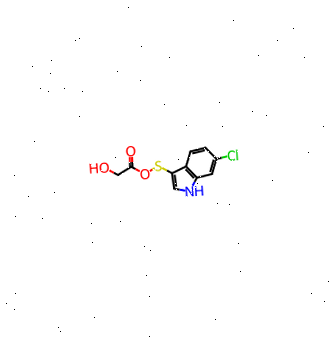 O=C(CO)OSc1c[nH]c2cc(Cl)ccc12